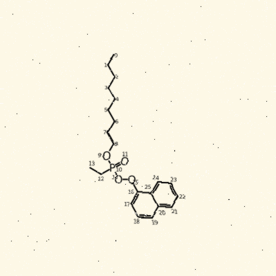 CCCCCCCCCOP(=O)(CC)OOc1cccc2ccccc12